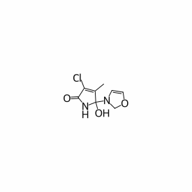 CC1=C(Cl)C(=O)NC1(O)N1C=COC1